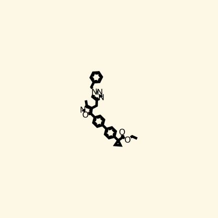 CCOC(=O)C1(c2ccc(-c3ccc(-c4onc(C)c4Cc4cn(Cc5ccccc5)nn4)cc3)cc2)CC1